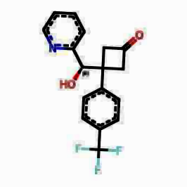 O=C1CC(c2ccc(C(F)(F)F)cc2)([C@@H](O)c2ccccn2)C1